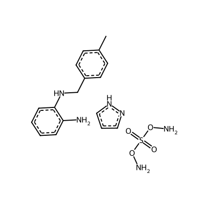 Cc1ccc(CNc2ccccc2N)cc1.NOS(=O)(=O)ON.c1cn[nH]c1